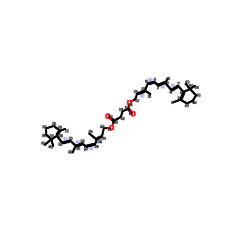 CC1=C(/C=C/C(C)=C/C=C\C(C)=C\COC(=O)CCC(=O)OC/C=C(C)/C=C\C=C(C)\C=C\C2=C(C)CCCC2(C)C)C(C)(C)CCC1